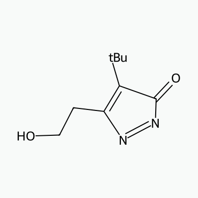 CC(C)(C)C1=C(CCO)N=NC1=O